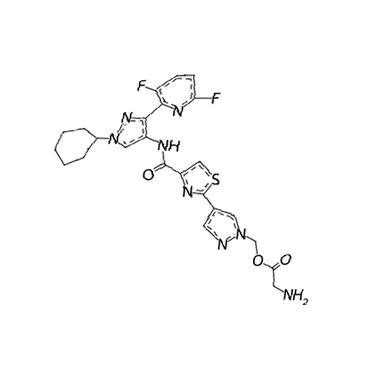 NCC(=O)OCn1cc(-c2nc(C(=O)Nc3cn(C4CCCCC4)nc3-c3nc(F)ccc3F)cs2)cn1